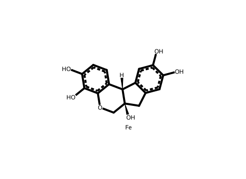 Oc1cc2c(cc1O)[C@H]1c3ccc(O)c(O)c3OC[C@@]1(O)C2.[Fe]